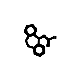 CCC(=O)OC1c2ccccc2CCc2ccccc21